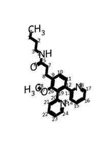 CCCCNC(=O)CCc1ccc(-c2ccccn2)c(-c2ccccn2)c1OC